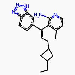 CCC1CC(C/C=C(/c2ccc3nn[nH]c3c2)c2c(C)ccnc2N)C1